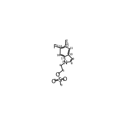 CS(=O)(=O)OCCn1ccc2cc(F)c(F)cc21